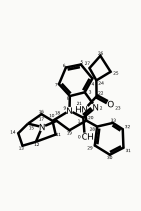 Cc1nc2ccccc2n1C1CC2CCC(C1)N2CCC(NC(=O)C1CCC1)c1ccccc1